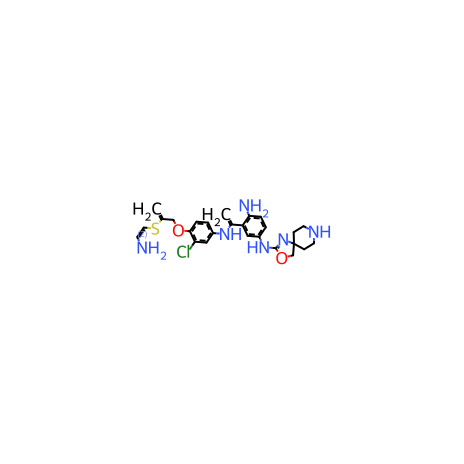 C=C(COc1ccc(NC(=C)c2cc(NC3=NC4(CCNCC4)CO3)ccc2N)cc1Cl)S/C=C\N